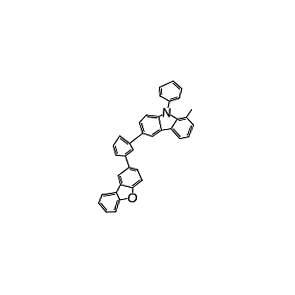 Cc1cccc2c3cc(-c4cccc(-c5ccc6oc7ccccc7c6c5)c4)ccc3n(-c3ccccc3)c12